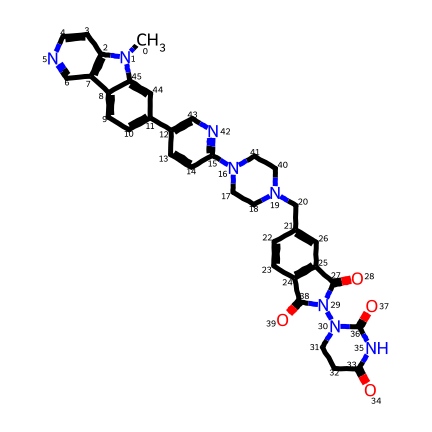 Cn1c2ccncc2c2ccc(-c3ccc(N4CCN(Cc5ccc6c(c5)C(=O)N(N5CCC(=O)NC5=O)C6=O)CC4)nc3)cc21